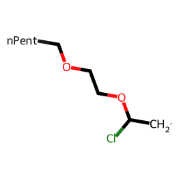 [CH2]C(Cl)OCCOCCCCCC